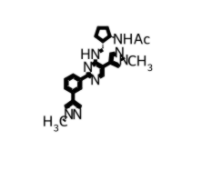 CC(=O)N[C@H]1CCC[C@H]1CNc1nc(-c2cccc(-c3cnn(C)c3)c2)ncc1-c1cnn(C)c1